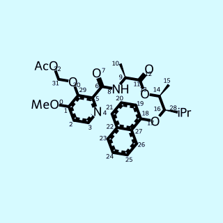 COc1ccnc(C(=O)N[C@@H](C)C(=O)O[C@@H](C)[C@H](Oc2cccc3ccccc23)C(C)C)c1OCOC(C)=O